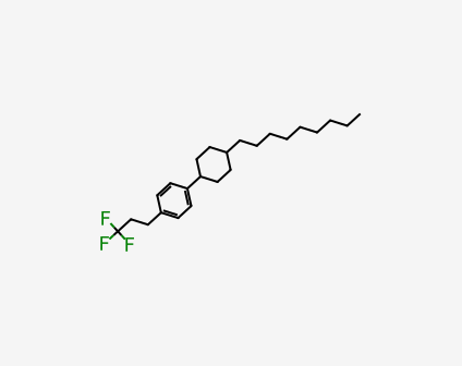 CCCCCCCCCC1CCC(c2ccc(CCC(F)(F)F)cc2)CC1